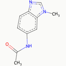 CC(=O)Nc1ccc2ncn(C)c2c1